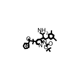 Cc1cc(C)cc(-c2c(C(C)CN)c3cc(C(C)(C)C(=O)N4CC5CCC4CC5)cnc3n2C(=O)OC(C)(C)C)c1